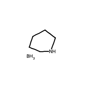 B.C1CCNCC1